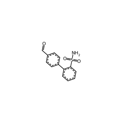 NS(=O)(=O)c1ccccc1-c1ccc(C=O)cc1